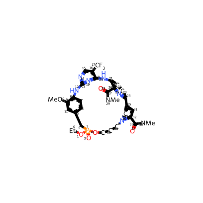 CCOP1(=O)Cc2ccc(c(OC)c2)Nc2ncc(C(F)(F)F)c(n2)Nc2ccc(nc2C(=O)NC)-c2cc(C(=O)NC)n(c2)CCCO1